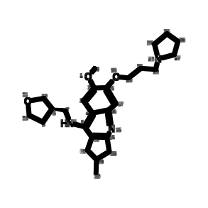 COc1cc2c(NC[C@H]3CCOC3)c3c(nc2cc1OCCCN1CCCC1)CC(C)C3